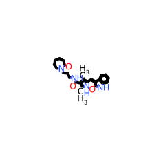 Cc1[nH]c(/C=C2\C(=O)Nc3ccccc32)c(C)c1C(=O)NCCCN1CCCCCC1=O